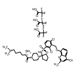 Cc1cc(C)c2cccc(OCc3c(Cl)ccc(S(=O)(=O)NC4(N5CCN(C(=O)[C@@H](N)CCCCN(C)C)CC5)CCCC4)c3Cl)c2n1.O=C(O)C(F)(F)F.O=C(O)C(F)(F)F.O=C(O)C(F)(F)F